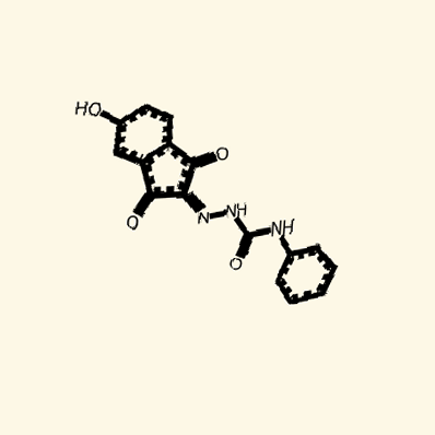 O=C(N/N=c1\c(=O)c2ccc(O)cc2c1=O)Nc1ccccc1